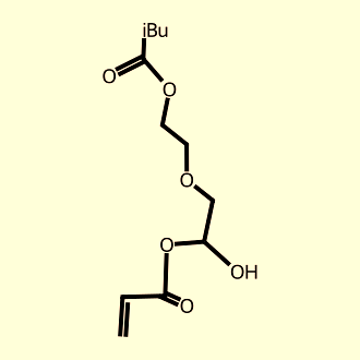 C=CC(=O)OC(O)COCCOC(=O)C(C)CC